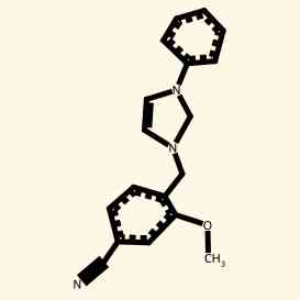 COc1cc(C#N)ccc1CN1C=CN(c2ccccc2)C1